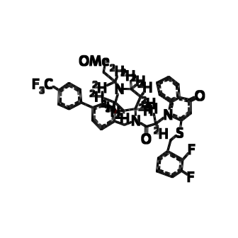 [2H]C([2H])(COC)N1C([2H])([2H])C([2H])([2H])C([2H])(N(Cc2ccc(-c3ccc(C(F)(F)F)cc3)cc2)C(=O)C([2H])([2H])n2c(SCc3cccc(F)c3F)cc(=O)c3ccccc32)C([2H])([2H])C1([2H])[2H]